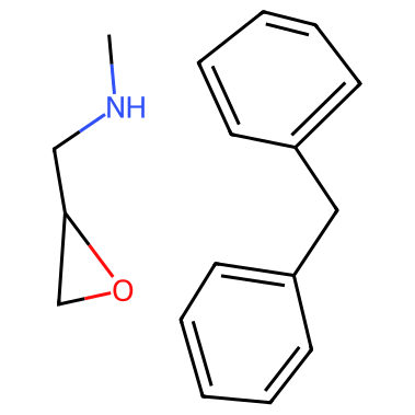 CNCC1CO1.c1ccc(Cc2ccccc2)cc1